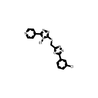 CCn1c(SCc2nnc(-c3cccc(Cl)c3)o2)nnc1-c1ccncc1